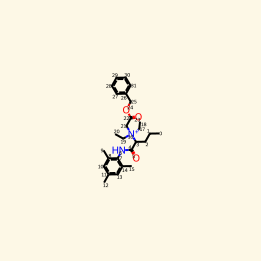 CCCC(C(=O)Nc1c(C)cc(C)cc1C)[N+](CC)(CC)CC(=O)OCc1ccccc1